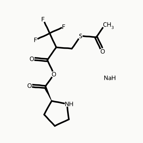 CC(=O)SCC(C(=O)OC(=O)[C@@H]1CCCN1)C(F)(F)F.[NaH]